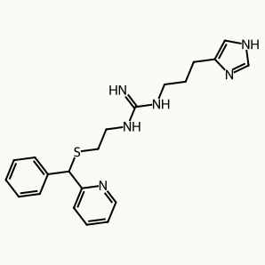 N=C(NCCCc1c[nH]cn1)NCCSC(c1ccccc1)c1ccccn1